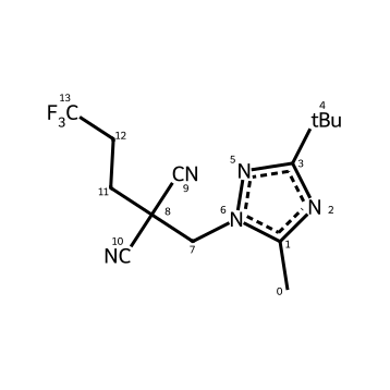 Cc1nc(C(C)(C)C)nn1CC(C#N)(C#N)CCC(F)(F)F